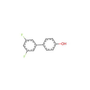 Oc1ccc(-c2cc(F)cc(F)c2)cc1